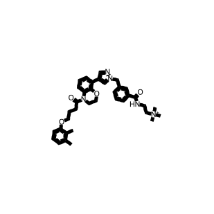 Cc1cccc(OCCCC(=O)N2CCOc3c(-c4cnn(Cc5cccc(C(=O)NCC[N+](C)(C)C)c5)c4)cccc32)c1C